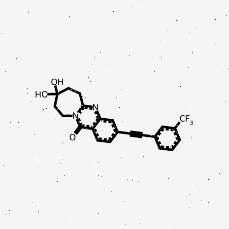 O=c1c2ccc(C#Cc3cccc(C(F)(F)F)c3)cc2nc2n1CCC(O)(O)CC2